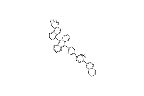 CCc1cccc2c1=CCCC=2C1=c2ccccc2=C(C2=CC=C(c3ccc(-c4ccc5c(c4)CCC=C5)nc3)CC2)C2C=CC=CC12